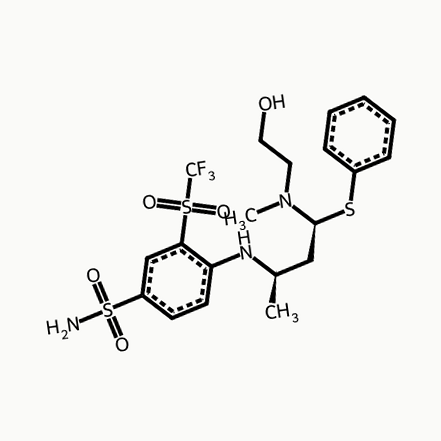 C[C@H](C[C@H](Sc1ccccc1)N(C)CCO)Nc1ccc(S(N)(=O)=O)cc1S(=O)(=O)C(F)(F)F